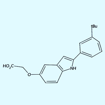 CC(C)(C)c1cccc(-c2cc3cc(OCC(=O)O)ccc3[nH]2)c1